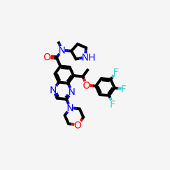 CC(Oc1cc(F)c(F)c(F)c1)c1cc(C(=O)N(C)C2CCNC2)cc2ncc(N3CCOCC3)nc12